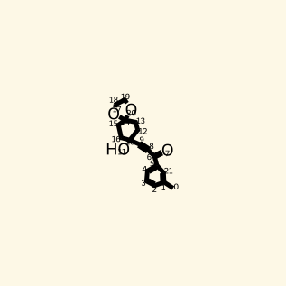 Cc1cccc(C(=O)C#CC2(O)CCC3(CC2)OCCO3)c1